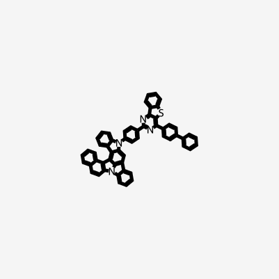 c1ccc(-c2ccc(-c3nc(-c4ccc(-n5c6ccccc6c6c7c8c9ccccc9ccc8n8c9ccccc9c(cc65)c78)cc4)nc4c3sc3ccccc34)cc2)cc1